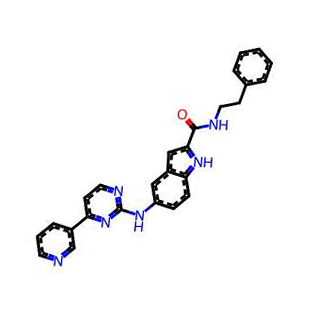 O=C(NCCc1ccccc1)c1cc2cc(Nc3nccc(-c4cccnc4)n3)ccc2[nH]1